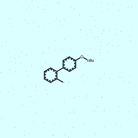 [CH2]c1ccccc1-c1ccc(OCCCC)cc1